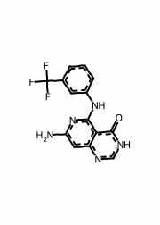 Nc1cc2nc[nH]c(=O)c2c(Nc2cccc(C(F)(F)F)c2)n1